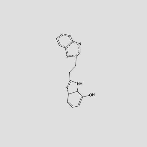 OC1=CC=CC2N=C(CCc3cnc4ccccc4n3)NC12